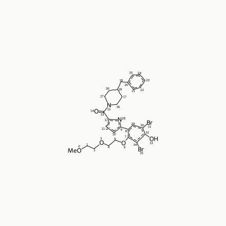 COCCOCCOc1c(-c2csc(C(=O)N3CCC(Cc4ccccc4)CC3)n2)cc(Br)c(O)c1Br